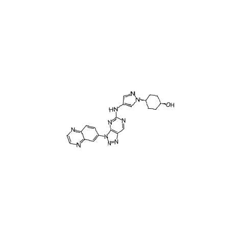 O[C@H]1CC[C@@H](n2cc(Nc3ncc4nnn(-c5ccc6nccnc6c5)c4n3)cn2)CC1